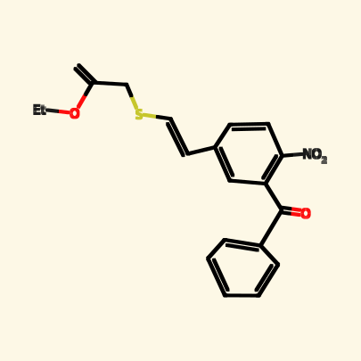 C=C(CS/C=C/c1ccc([N+](=O)[O-])c(C(=O)c2ccccc2)c1)OCC